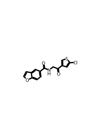 O=C(CNC(=O)c1ccc2occc2c1)c1csc(Cl)c1